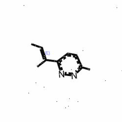 C/C=C(\C)c1ccc(C)nn1